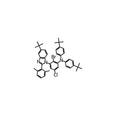 Cc1cccc(C)c1-c1nc2cc(C(C)(C)C)ccc2n1-c1cc(Cl)cc(N(c2ccc(C(C)(C)C)cc2)c2ccc(C(C)(C)C)cc2)c1Br